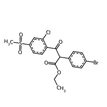 CCOC(=O)C(C(=O)c1ccc(S(C)(=O)=O)cc1Cl)c1ccc(Br)cc1